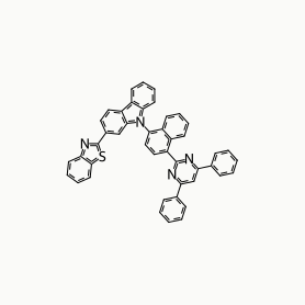 c1ccc(-c2cc(-c3ccccc3)nc(-c3ccc(-n4c5ccccc5c5ccc(-c6nc7ccccc7s6)cc54)c4ccccc34)n2)cc1